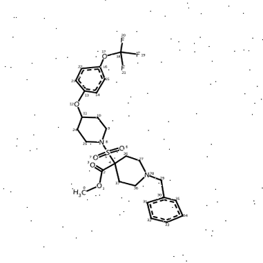 COC(=O)C1(S(=O)(=O)N2CCC(Oc3ccc(OC(F)(F)F)cc3)CC2)CCN(Cc2ccccc2)CC1